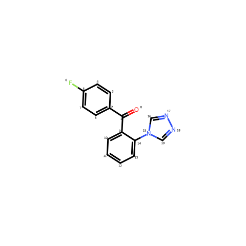 O=C(c1ccc(F)cc1)c1ccccc1-n1cnnc1